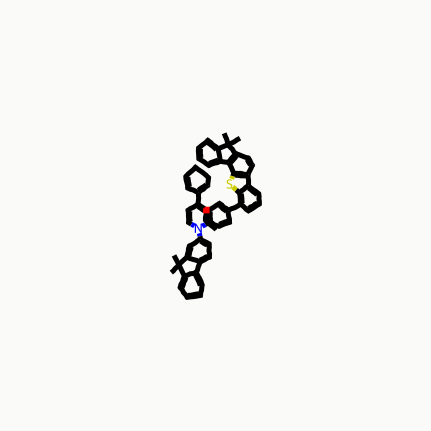 C=C/C=C(\C=C/N(c1ccc(-c2cccc3c2sc2c4c(ccc23)C(C)(C)c2ccccc2-4)cc1)c1ccc2c(c1)C(C)(C)c1ccccc1-2)C1=CCCC=C1